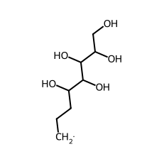 [CH2]CCC(O)C(O)C(O)C(O)CO